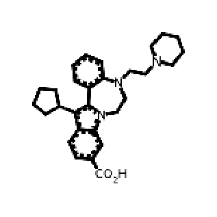 O=C(O)c1ccc2c(C3CCCC3)c3n(c2c1)CCN(CCN1CCCCC1)c1ccccc1-3